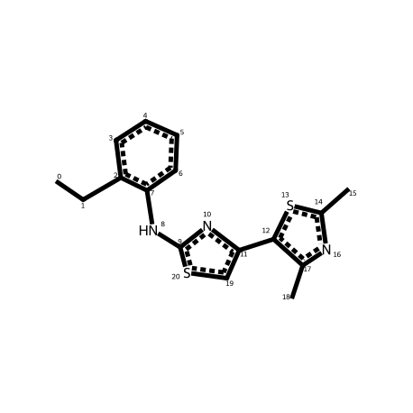 CCc1ccccc1Nc1nc(-c2sc(C)nc2C)cs1